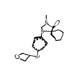 CN1CN(c2ccc(NC3COC3)cc2)C2(CCCCC2)C1=O